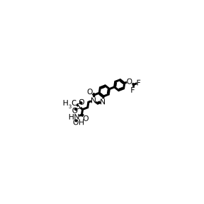 CS(=O)(=O)C(CCn1cnc2cc(-c3ccc(OC(F)F)cc3)ccc2c1=O)C(=O)NO